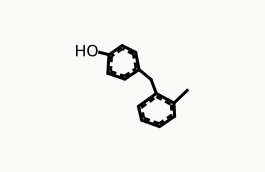 Cc1ccccc1Cc1ccc(O)cc1